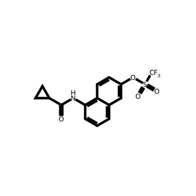 O=C(Nc1cccc2cc(OS(=O)(=O)C(F)(F)F)ccc12)C1CC1